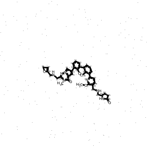 COc1nc(-c2cccc(-c3cccc(-c4cc5c(=O)n(C)c(CNCC6=CCO6)nn5c4)c3Cl)c2Cl)ccc1CNCC1CCC(=O)N1